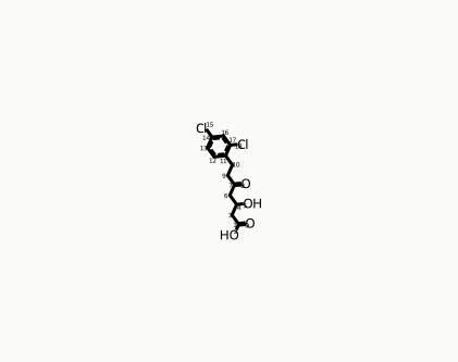 O=C(O)CC(O)CC(=O)CCc1ccc(Cl)cc1Cl